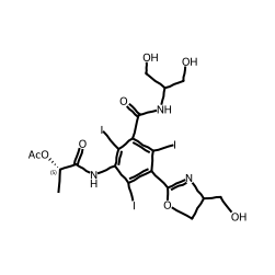 CC(=O)O[C@@H](C)C(=O)Nc1c(I)c(C(=O)NC(CO)CO)c(I)c(C2=NC(CO)CO2)c1I